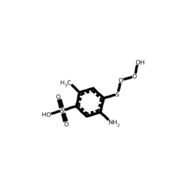 Cc1cc(SOOO)c(N)cc1S(=O)(=O)O